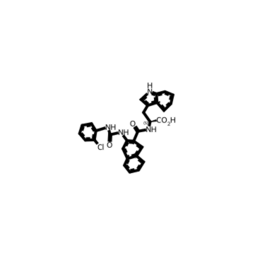 O=C(Nc1ccccc1Cl)Nc1cc2ccccc2cc1C(=O)N[C@@H](Cc1c[nH]c2ccccc12)C(=O)O